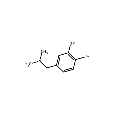 CC(C)c1ccc(CN(C)C)cc1C(C)C